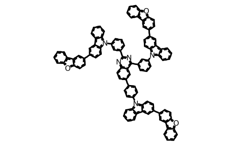 c1cc(-c2nc(-c3cccc(-n4c5ccccc5c5cc(-c6ccc7oc8ccccc8c7c6)ccc54)c3)c3cc(-c4ccc(-n5c6ccccc6c6cc(-c7ccc8oc9ccccc9c8c7)ccc65)cc4)ccc3n2)cc(-n2c3ccccc3c3cc(-c4ccc5oc6ccccc6c5c4)ccc32)c1